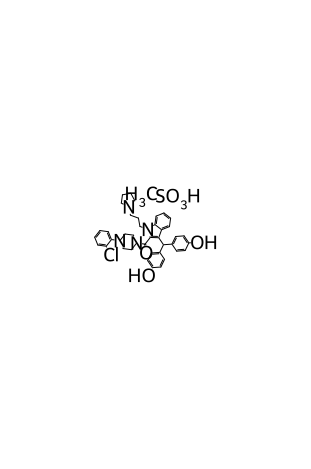 CS(=O)(=O)O.O=C(c1c(C(c2ccc(O)cc2)c2ccc(O)cc2)c2ccccc2n1CCCN1CCCC1)N1CCN(c2ccccc2Cl)CC1